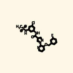 CS(=O)(=O)Nc1cc(Cl)cc(NC(=O)c2cnn(-c3ncccc3OCc3cccc(F)c3)c2)c1